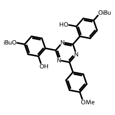 COc1ccc(-c2nc(-c3ccc(OCC(C)C)cc3O)nc(-c3ccc(OCC(C)C)cc3O)n2)cc1